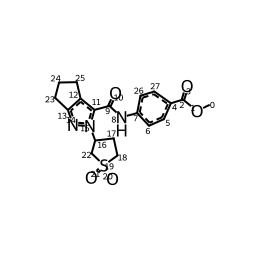 COC(=O)c1ccc(NC(=O)c2c3c(nn2C2CCS(=O)(=O)C2)CCC3)cc1